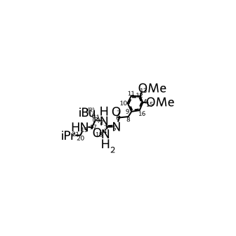 CC[C@@H](C)[C@@H](NC(N)=NC(=O)Cc1ccc(OC)c(OC)c1)C(=O)NCC(C)C